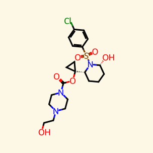 O=C(OC1([C@H]2CCC[C@@H](O)N2S(=O)(=O)c2ccc(Cl)cc2)CC1)N1CCN(CCO)CC1